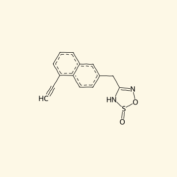 C#Cc1cccc2cc(CC3=NOS(=O)N3)ccc12